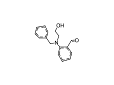 O=Cc1ccccc1N(CCO)Cc1ccccc1